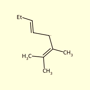 CCC=C[CH]C(C)=C(C)C